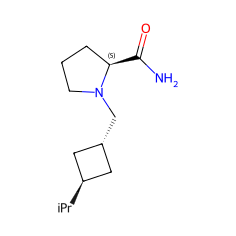 CC(C)[C@H]1C[C@H](CN2CCC[C@H]2C(N)=O)C1